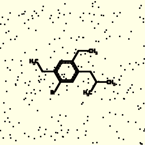 CCc1cc(CC)c(CC(C)C)cc1Br